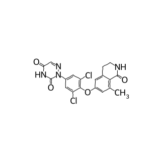 Cc1cc(Oc2c(Cl)cc(-n3ncc(=O)[nH]c3=O)cc2Cl)cc2c1C(=O)NCC2